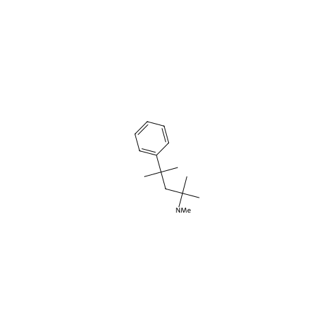 CNC(C)(C)CC(C)(C)c1ccccc1